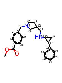 COC(=O)c1ccc(CN2CCC(CNC3CC3c3ccccc3)C2)cc1